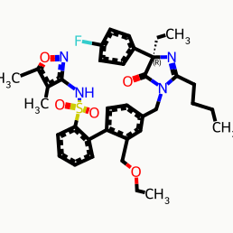 CCCCC1=N[C@](CC)(c2ccc(F)cc2)C(=O)N1Cc1ccc(-c2ccccc2S(=O)(=O)Nc2noc(C)c2C)c(COCC)c1